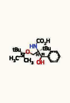 CC(C)(C)[C@](CO[Si](C)(C)C(C)(C)C)(NC(=O)O)[C@H](O)c1ccccc1